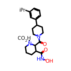 CC(C)c1cccc(C2CCN(C(=O)C3C(C(=O)NO)CCCN3C(=O)O)CC2)c1